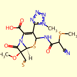 CO[C@@]1(C=S)C(=O)N2C(C(=O)O)=C(c3nnnn3C)C(NC(=O)C(C#N)SC)S[C@H]21